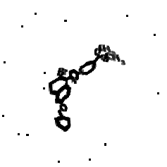 COC(OC)C1CCN(c2ccc(C3=C(Br)CCc4cc(OCc5ccccc5)ccc43)nc2)CC1